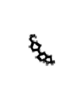 NCc1ccc(C2=CC3=CNON3C=C2)cc1